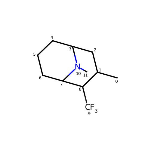 CC1CC2CCCC(C1C(F)(F)F)N2C